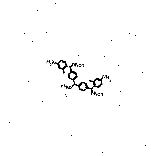 CCCCCCCCCC(c1ccc(C(CCCCCC)c2ccc(C(CCCCCCCCC)c3ccc(N)cc3C)cc2)cc1)c1ccc(N)cc1C